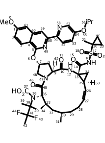 COc1ccc2c(O[C@@H]3C[C@H]4C(=O)N[C@]5(C(=O)NS(=O)(=O)C6(C)CC6)C[C@H]5C=CCC[C@@H](C)C[C@@H](C)[C@H](N(C(=O)O)C(C)(C)C(C)(F)F)C(=O)N4C3)nc(-c3ccc(OC(C)C)cn3)cc2c1